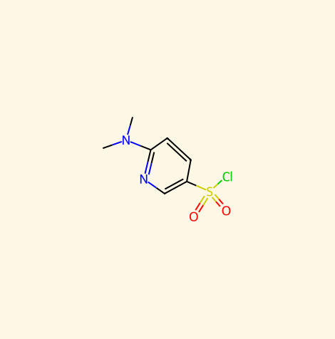 CN(C)c1ccc(S(=O)(=O)Cl)cn1